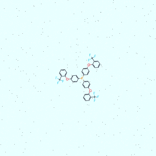 FC(F)(F)c1ccccc1Oc1ccc(P(c2ccc(Oc3ccccc3C(F)(F)F)cc2)c2ccc(Oc3ccccc3C(F)(F)F)cc2)cc1